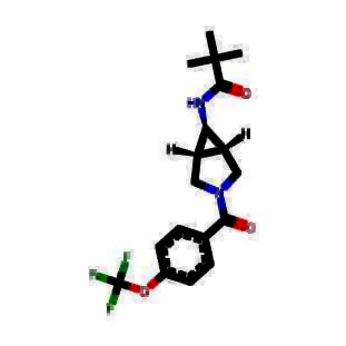 CC(C)(C)C(=O)N[C@H]1[C@@H]2CN(C(=O)c3ccc(OC(F)(F)F)cc3)C[C@@H]21